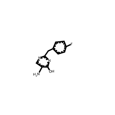 Nc1cnc(Cc2ccc(F)cc2)nc1O